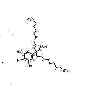 CCCCCCCCCCCCCCCCCCC(CCCCCCCCCCCCCCCCCC)(CC(=O)O)c1cc(C(C)(C)C)c(O)c(C(C)(C)C)c1